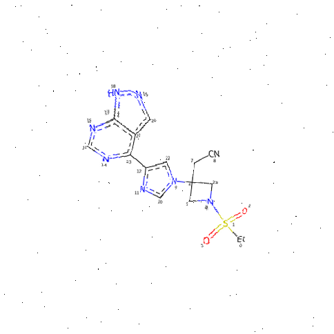 CCS(=O)(=O)N1CC(CC#N)(n2cnc(-c3ncnc4[nH]ncc34)c2)C1